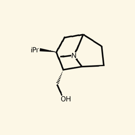 CC(C)[C@H]1CC2CCC([C@@H]1CO)N2C